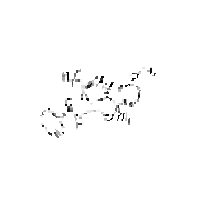 COc1cccc(C2(C)OC(NC(=O)c3ccccc3)=C(OC(C)=O)C2=O)c1